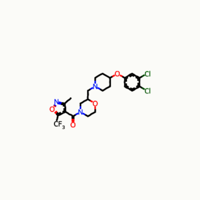 Cc1noc(C(F)(F)F)c1C(=O)N1CCOC(CN2CCC(Oc3ccc(Cl)c(Cl)c3)CC2)C1